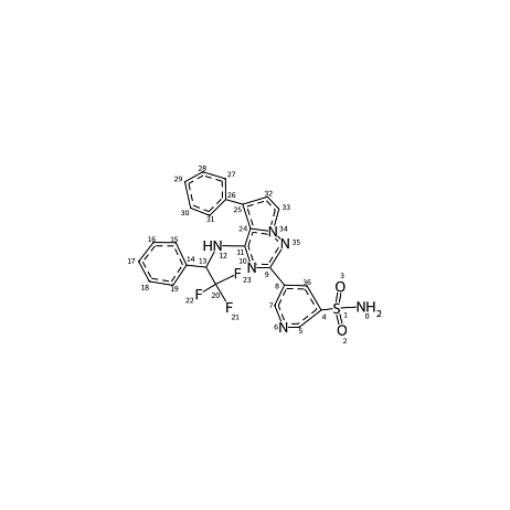 NS(=O)(=O)c1cncc(-c2nc(NC(c3ccccc3)C(F)(F)F)c3c(-c4ccccc4)ccn3n2)c1